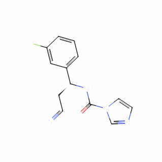 N=CC[C@H](NC(=O)n1ccnc1)c1cccc(F)c1